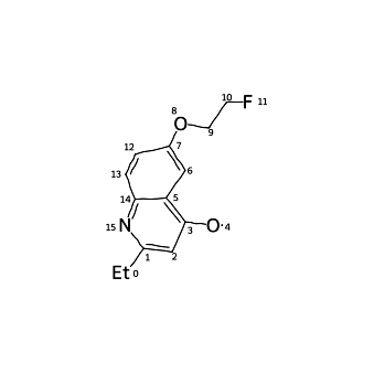 CCc1cc([O])c2cc(OCCF)ccc2n1